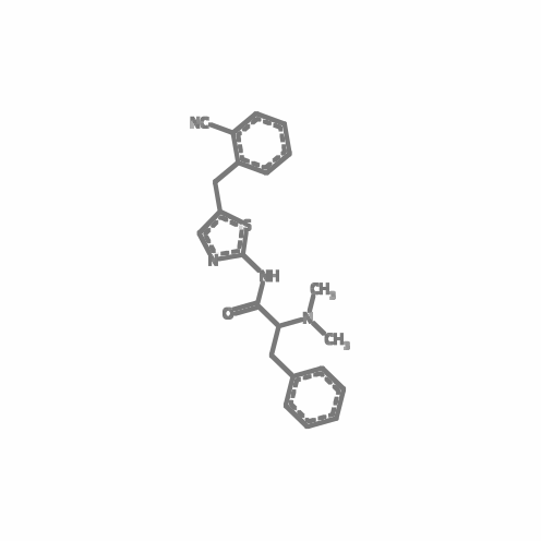 CN(C)C(Cc1ccccc1)C(=O)Nc1ncc(Cc2ccccc2C#N)s1